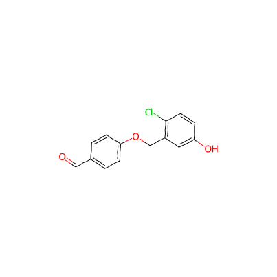 O=Cc1ccc(OCc2cc(O)ccc2Cl)cc1